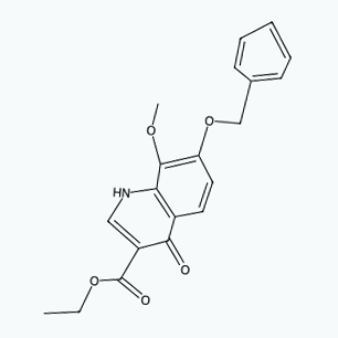 CCOC(=O)c1c[nH]c2c(OC)c(OCc3ccccc3)ccc2c1=O